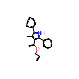 C=CCOC(=C)c1c(-c2ccccc2)[nH]c(-c2ccccc2)c1C